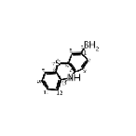 Bc1ccc2c(c1)Sc1ccccc1N2